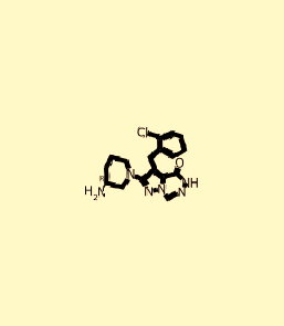 N[C@@H]1CCCN(c2nn3cn[nH]c(=O)c3c2Cc2ccccc2Cl)C1